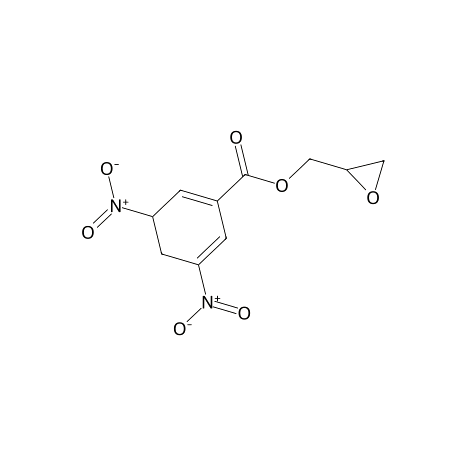 O=C(OCC1CO1)C1=CC([N+](=O)[O-])CC([N+](=O)[O-])=C1